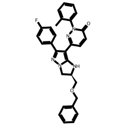 Cc1ccccc1-n1nc(-c2c(-c3ccc(F)cc3)nn3c2N[C@@H](COCc2ccccc2)C3)ccc1=O